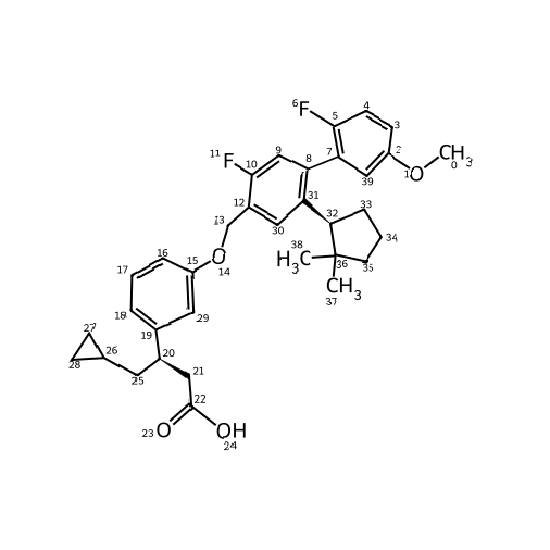 COc1ccc(F)c(-c2cc(F)c(COc3cccc([C@@H](CC(=O)O)CC4CC4)c3)cc2[C@H]2CCCC2(C)C)c1